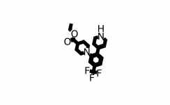 CCOC(=O)C1CCN(c2cc(C(F)(F)F)ccc2C2=CCNCC2)CC1